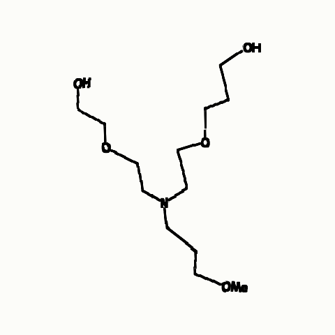 COCCCN(CCOCCO)CCOCCCO